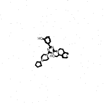 OCC1c2ccccc2CCN1c1nc(-c2cccc(O)c2)nc(N2CCN(C3CCCC3)CC2)n1